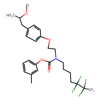 CCOC(Cc1ccc(OCCN(CCCCC(F)(F)C(F)(F)C(F)(F)F)C(=O)Oc2cccc(C)c2)cc1)C(=O)O